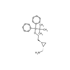 CC(C)(C)[Si](OCC[C@H]1C[C@@H]1CN)(c1ccccc1)c1ccccc1